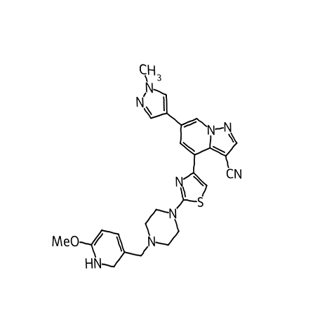 COC1=CC=C(CN2CCN(c3nc(-c4cc(-c5cnn(C)c5)cn5ncc(C#N)c45)cs3)CC2)CN1